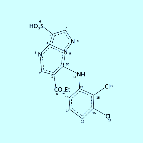 CCOC(=O)c1cnc2c(S(=O)(=O)O)cnn2c1Nc1cccc(Cl)c1Cl